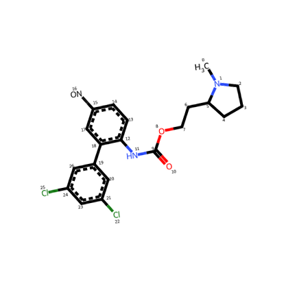 CN1CCCC1CCOC(=O)Nc1ccc(N=O)cc1-c1cc(Cl)cc(Cl)c1